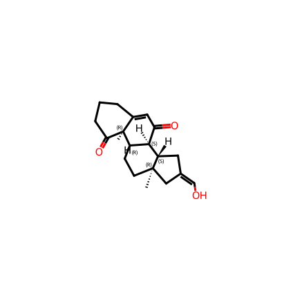 C[C@]12CC[C@@H]3[C@@H](C(=O)C=C4CCCC(=O)[C@@]43C)[C@@H]1CC(=CO)C2